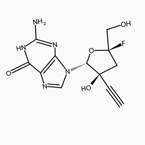 C#C[C@@]1(O)C[C@@](F)(CO)O[C@H]1n1cnc2c(=O)[nH]c(N)nc21